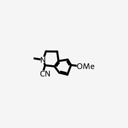 COc1ccc2c(c1)CCN(C)C2C#N